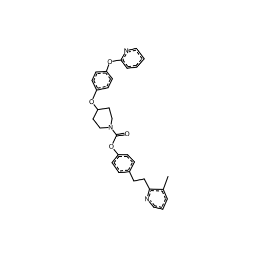 Cc1cccnc1CCc1ccc(OC(=O)N2CCC(Oc3ccc(Oc4ccccn4)cc3)CC2)cc1